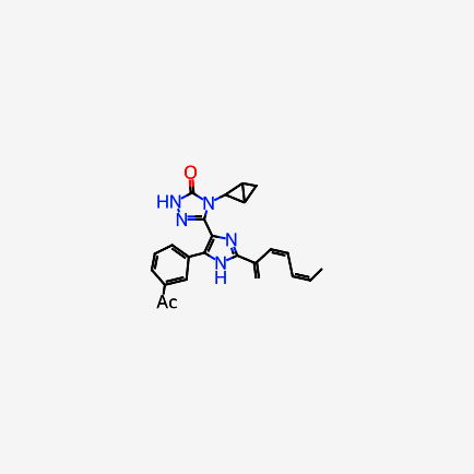 C=C(/C=C\C=C/C)c1nc(-c2n[nH]c(=O)n2C2C3CC32)c(-c2cccc(C(C)=O)c2)[nH]1